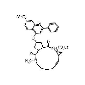 CCOC(=O)C12CC1C=CCCCCN(C)C(=O)C1CC(Oc3cc(-c4ccccc4)nc4cc(OC)ccc34)CC1C(=O)N2